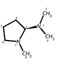 CN(C)[C@@H]1CCCN1C